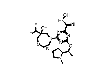 C[C@H](Oc1nc(C(=N)NO)nc(N2CCOCC(O)(C(F)F)C2)n1)[C@@H]1C[C@@H](F)CN1C